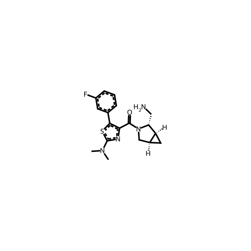 CN(C)c1nc(C(=O)N2C[C@@H]3C[C@@H]3[C@H]2CN)c(-c2cccc(F)c2)s1